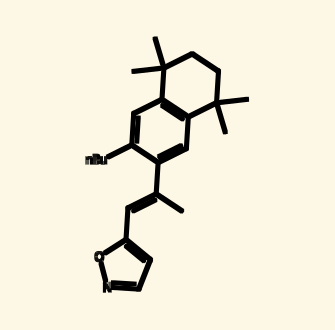 CCCCc1cc2c(cc1C(C)=Cc1ccno1)C(C)(C)CCC2(C)C